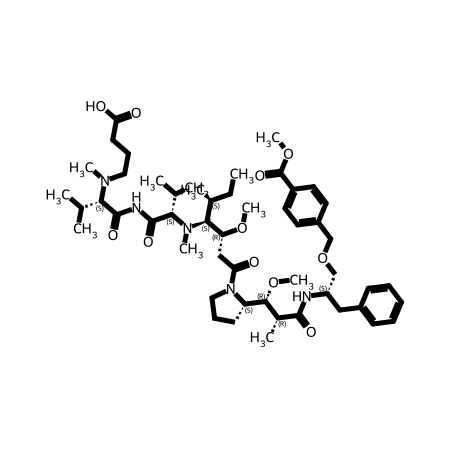 CC[C@H](C)[C@@H]([C@@H](CC(=O)N1CCC[C@H]1[C@H](OC)[C@@H](C)C(=O)N[C@H](COCc1ccc(C(=O)OC)cc1)Cc1ccccc1)OC)N(C)[C@H](C(=O)NC(=O)[C@H](C(C)C)N(C)CCCC(=O)O)C(C)C